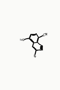 N#Cc1ccc(O)c2cc(Br)ccc12